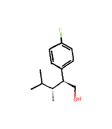 CC(C)[C@@H](C)[C@H](CO)c1ccc(F)cc1